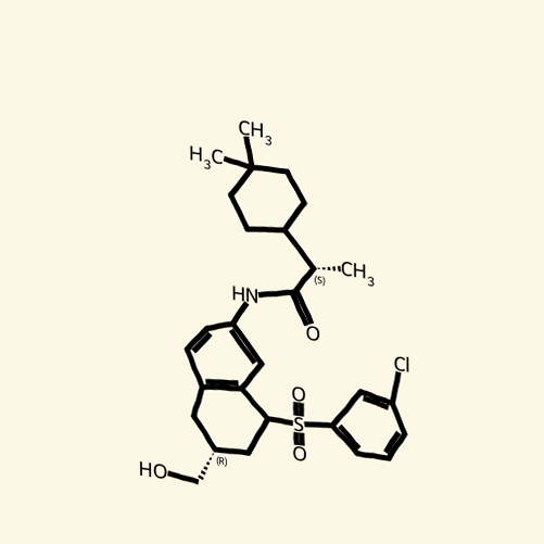 C[C@H](C(=O)Nc1ccc2c(c1)C(S(=O)(=O)c1cccc(Cl)c1)C[C@H](CO)C2)C1CCC(C)(C)CC1